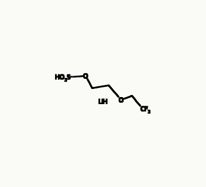 O=S(=O)(O)OCCOCC(F)(F)F.[LiH]